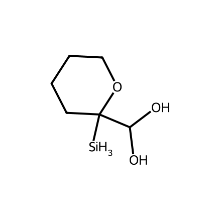 OC(O)C1([SiH3])CCCCO1